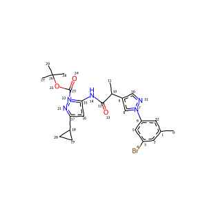 Cc1cc(Br)cc(-n2cc(C(C)C(=O)Nc3cc(C4CC4)nn3C(=O)OC(C)(C)C)cn2)c1